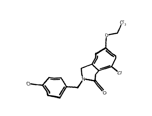 O=C1c2c(Cl)cc(OCC(F)(F)F)cc2CN1Cc1ccc(Cl)cc1